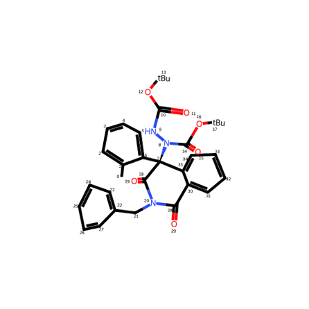 Cc1ccccc1[C@@]1(N(NC(=O)OC(C)(C)C)C(=O)OC(C)(C)C)C(=O)N(Cc2ccccc2)C(=O)c2ccccc21